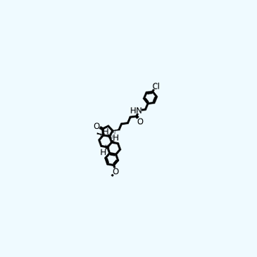 COc1ccc2c(c1)CC[C@H]1[C@@H]3[C@H](CCCCC(=O)NCc4ccc(Cl)cc4)CC(=O)[C@@]3(C)CC[C@H]21